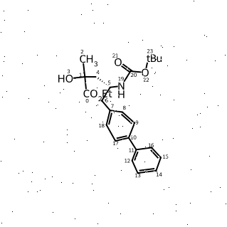 CCOC(=O)C(C)(O)C[C@@H](Cc1ccc(-c2ccccc2)cc1)NC(=O)OC(C)(C)C